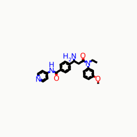 CCN(C(=O)CC(N)c1ccc(C(=O)Nc2ccncc2)cc1)c1cccc(OC)c1